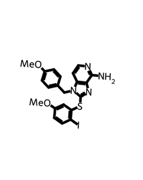 COc1ccc(Cn2c(Sc3cc(OC)ccc3I)nc3c(N)nccc32)cc1